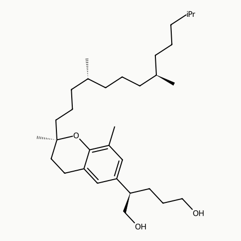 Cc1cc([C@H](CO)CCCO)cc2c1O[C@](C)(CCC[C@H](C)CCC[C@H](C)CCCC(C)C)CC2